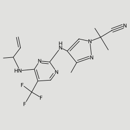 C=CC(C)Nc1nc(Nc2cn(C(C)(C)C#N)nc2C)ncc1C(F)(F)F